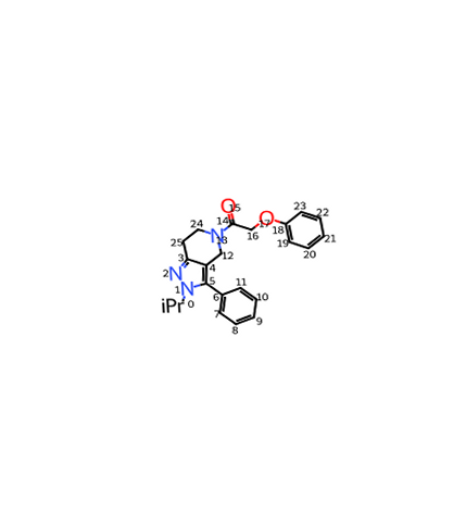 CC(C)n1nc2c(c1-c1ccccc1)CN(C(=O)COc1ccccc1)CC2